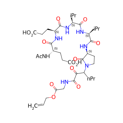 C=CCOC(=O)CNC(=O)C(=O)C(CCC)N1CC[C@H](NC(=O)[C@@H](NC(=O)[C@@H](NC(=O)[C@H](CCC(=O)O)NC(=O)[C@H](CCC(=O)O)NC(C)=O)C(C)C)C(C)C)C1=O